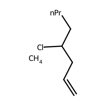 C.C=CCC(Cl)CCCC